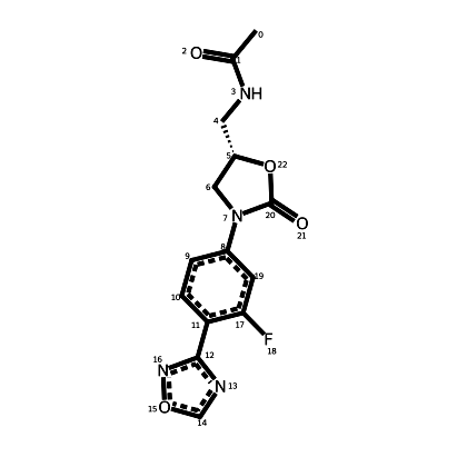 CC(=O)NC[C@H]1CN(c2ccc(-c3ncon3)c(F)c2)C(=O)O1